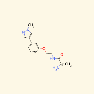 C[C@H](N)C(=O)NCCOc1c[c]cc(-c2cnn(C)c2)c1